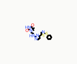 CC1(C)C(=O)NC(=O)N1CCNc1nccc(-c2cnc(Sc3ccccc3)s2)n1